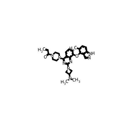 C=CC(=O)N1CCN(c2nc(N3CC(N(C)C)C3)nc3c(Oc4c(C)ccc5[nH]ncc45)cccc23)CC1